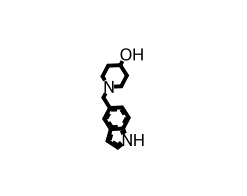 OC1CCN(Cc2ccc3[nH]ccc3c2)CC1